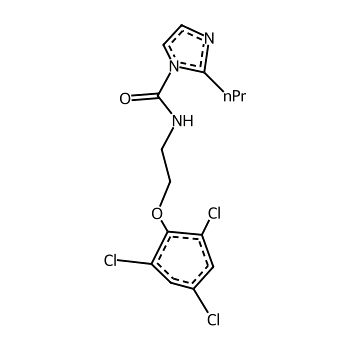 CCCc1nccn1C(=O)NCCOc1c(Cl)cc(Cl)cc1Cl